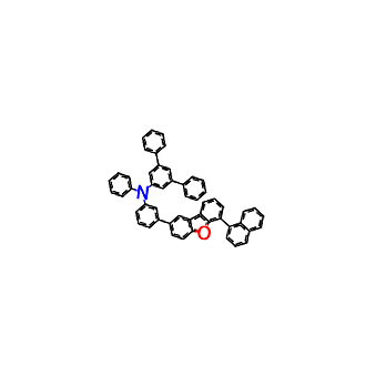 c1ccc(-c2cc(-c3ccccc3)cc(N(c3ccccc3)c3cccc(-c4ccc5oc6c(-c7cccc8ccccc78)cccc6c5c4)c3)c2)cc1